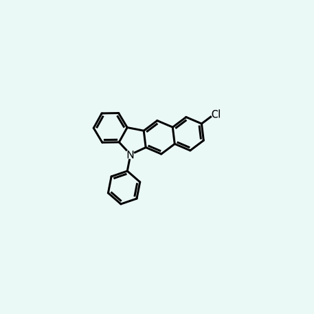 Clc1ccc2cc3c(cc2c1)c1ccccc1n3-c1ccccc1